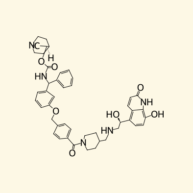 O=C(NC(c1ccccc1)c1cccc(OCc2ccc(C(=O)N3CCC(CNC[C@@H](O)c4ccc(O)c5[nH]c(=O)ccc45)CC3)cc2)c1)O[C@H]1CN2CCC1CC2